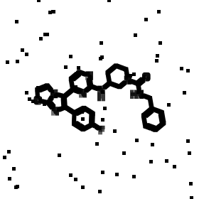 O=C(NCc1ccccc1)N1CCCC(Nc2nccc(-c3c(-c4ccc(F)cc4)nc4occn34)n2)C1